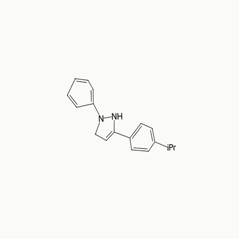 CC(C)c1ccc(C2=CCN(c3ccccc3)N2)cc1